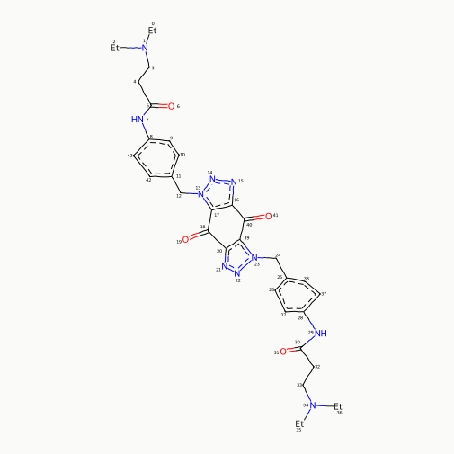 CCN(CC)CCC(=O)Nc1ccc(Cn2nnc3c2C(=O)c2nnn(Cc4ccc(NC(=O)CCN(CC)CC)cc4)c2C3=O)cc1